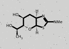 CNC1=N[C@@H]2C[C@H](O)[C@@H]([C@@H](C)O)O[C@@H]2S1